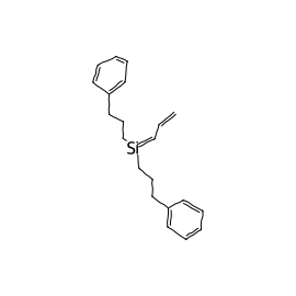 C=CC=[Si](CCCc1ccccc1)CCCc1ccccc1